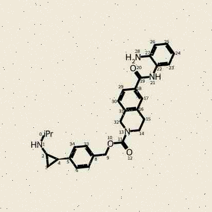 CC(C)NC1C[C@@H]1c1ccc(COC(=O)N2CCc3cc(C(=O)Nc4ccccc4N)ccc3C2)cc1